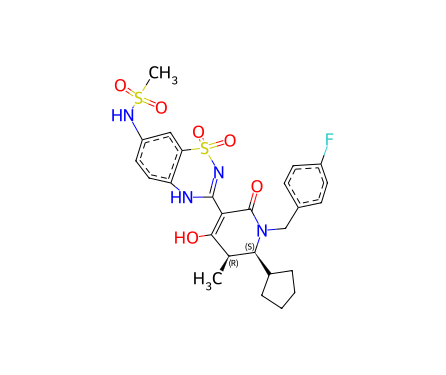 C[C@H]1C(O)=C(C2=NS(=O)(=O)c3cc(NS(C)(=O)=O)ccc3N2)C(=O)N(Cc2ccc(F)cc2)[C@H]1C1CCCC1